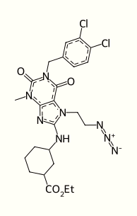 CCOC(=O)C1CCCC(Nc2nc3c(c(=O)n(Cc4ccc(Cl)c(Cl)c4)c(=O)n3C)n2CCN=[N+]=[N-])C1